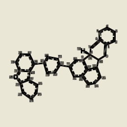 C1=c2ccccc2=C[C@H]2c3cc(-c4ccc(-c5cccc6oc7ccccc7c56)cc4)cc4cccc(c34)C12